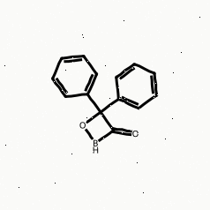 O=C1BOC1(c1ccccc1)c1ccccc1